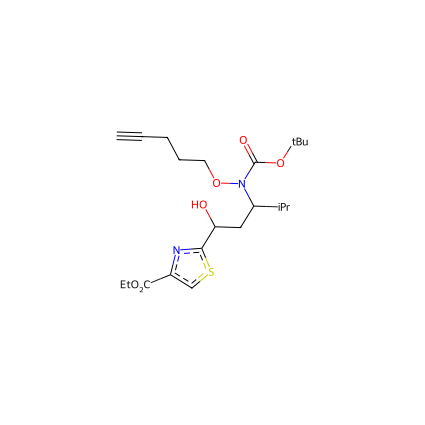 C#CCCCON(C(=O)OC(C)(C)C)C(CC(O)c1nc(C(=O)OCC)cs1)C(C)C